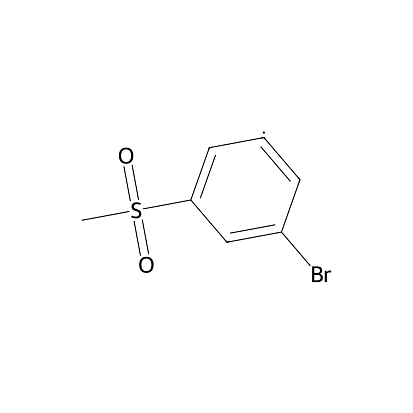 CS(=O)(=O)c1c[c]cc(Br)c1